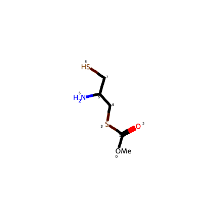 COC(=O)SCC(N)CS